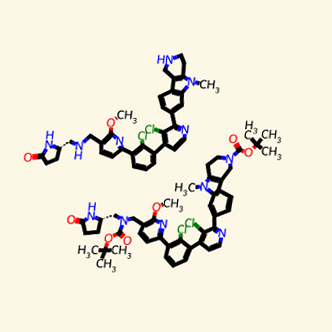 COc1nc(-c2cccc(-c3ccnc(-c4ccc5c6c(n(C)c5c4)CCN(C(=O)OC(C)(C)C)C6)c3Cl)c2Cl)ccc1CN(C[C@@H]1CCC(=O)N1)C(=O)OC(C)(C)C.COc1nc(-c2cccc(-c3ccnc(-c4ccc5c6c(n(C)c5c4)CCNC6)c3Cl)c2Cl)ccc1CNC[C@@H]1CCC(=O)N1